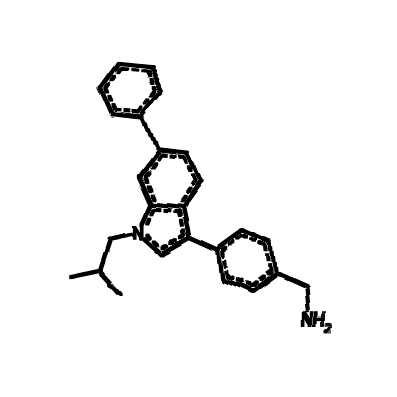 CC(C)Cn1cc(-c2ccc(CN)cc2)c2ccc(-c3ccccc3)cc21